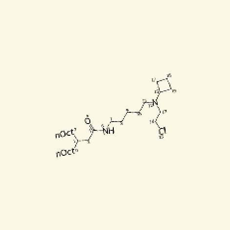 CCCCCCCCC(CCCCCCCC)CC(=O)NCCCCCN(CCCl)C1CCC1